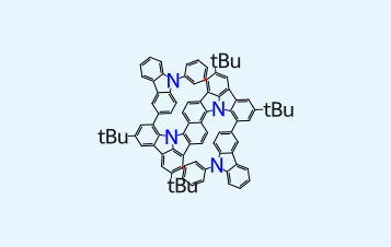 CC(C)(C)c1cc(-c2ccc3c(c2)c2ccccc2n3-c2ccccc2)c2c(c1)c1cc(C(C)(C)C)cc3c4ccc5c(ccc6c7cc(C(C)(C)C)cc8c9cc(C(C)(C)C)cc(-c%10ccc%11c(c%10)c%10ccccc%10n%11-c%10ccccc%10)c9n(c87)c65)c4n2c13